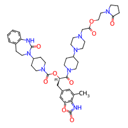 Cc1cc(C[C@@H](OC(=O)N2CCC(N3CCc4ccccc4NC3=O)CC2)C(=O)N2CCC(N3CCN(CC(=O)OCCN4CCCC4=O)CC3)CC2)cc2oc(=O)[nH]c12